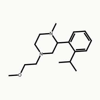 COCCN1CCN(C)C(c2ccccc2C(C)C)C1